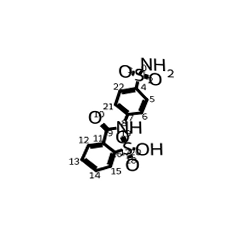 NS(=O)(=O)c1ccc(NC(=O)c2ccccc2S(=O)(=O)O)cc1